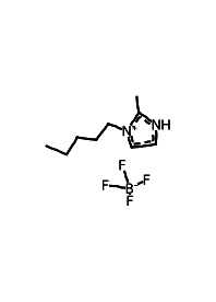 CCCCC[n+]1cc[nH]c1C.F[B-](F)(F)F